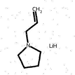 C=C[CH]N1CCCC1.[LiH]